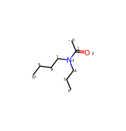 [CH2]C(=O)N(CCC)CCCC